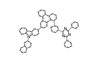 c1ccc(-c2nc(-c3ccccc3)nc(-c3cccc(-c4cccc5c6ccccc6c6cc(-c7ccc8c(c7)c7ccccc7n8-c7ccc8ccccc8c7)ccc6c45)c3)n2)cc1